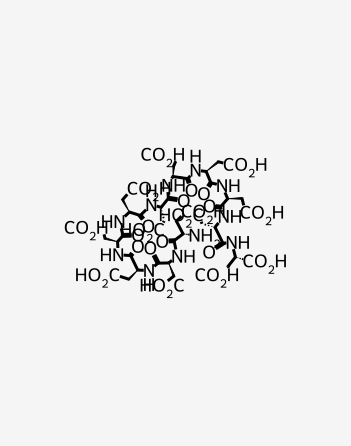 N[C@@H](CC(=O)O)C(=O)N[C@@H](CC(=O)O)C(=O)N[C@@H](CC(=O)O)C(=O)N[C@@H](CC(=O)O)C(=O)N[C@@H](CC(=O)O)C(=O)N[C@@H](CC(=O)O)C(=O)N[C@@H](CC(=O)O)C(=O)N[C@@H](CC(=O)O)C(=O)N[C@@H](CC(=O)O)C(=O)N[C@@H](CC(=O)O)C(=O)N[C@@H](CC(=O)O)C(=O)O